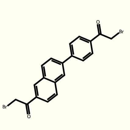 O=C(CBr)c1ccc(-c2ccc3cc(C(=O)CBr)ccc3c2)cc1